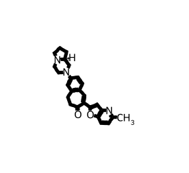 Cc1ccc2oc(C3=Cc4ccc(N5CCN6CCC[C@H]6C5)cc4CCC3=O)cc2n1